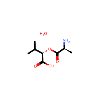 CC(C)[C@H](OC(=O)[C@H](C)N)C(=O)O.O